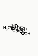 CC(=O)N[C@@H](Cc1ccc(O)cc1)[C@@H](O)CNC1(c2cccc(C(C)C)c2)CCCCC1